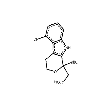 CCCCC1(CC(=O)O)OCCc2c1[nH]c1cccc(Cl)c21